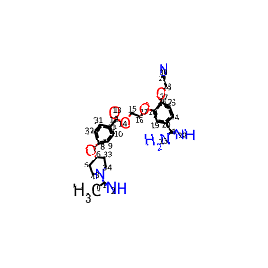 CC(=N)N1CCC(Oc2ccc(C(=O)OCCOc3cc(C(=N)N)ccc3OCC#N)cc2)CC1